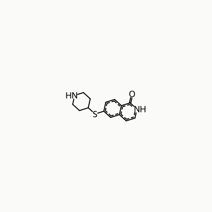 O=c1[nH]ccc2cc(SC3CCNCC3)ccc12